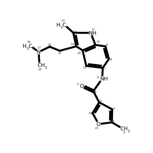 Cc1cc(C(=O)Nc2ccc3[nH]c(C)c(CCN(C)C)c3c2)co1